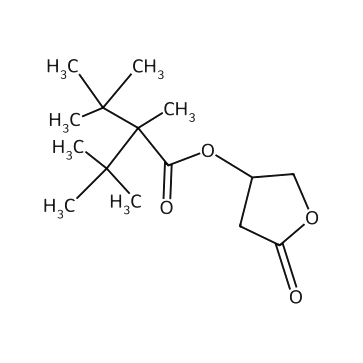 CC(C)(C)C(C)(C(=O)OC1COC(=O)C1)C(C)(C)C